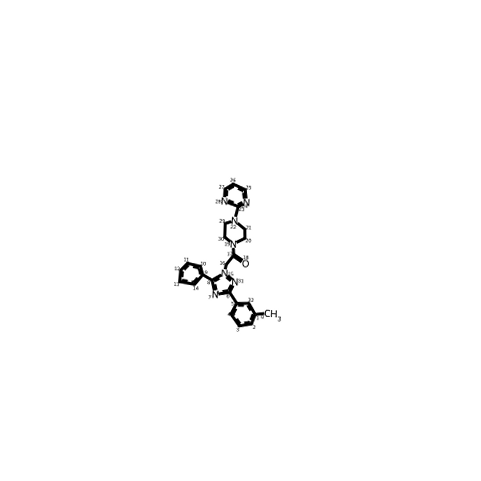 Cc1cccc(-c2nc(-c3ccccc3)n(CC(=O)N3CCN(c4ncccn4)CC3)n2)c1